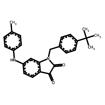 Cc1ccc(Nc2ccc3c(c2)N(Cc2ccc(C(C)(C)C)cc2)C(=O)C3=O)cc1